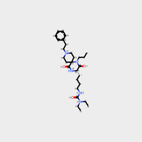 CCCN1C(=O)[C@H](CCCCNC(=O)N(CC)CC)NC(=O)C12CCN(CCc1ccccc1)CC2